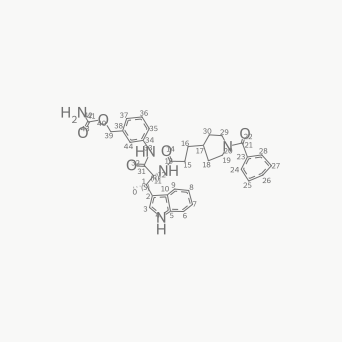 C[C@@H](c1c[nH]c2ccccc12)[C@@H](NC(=O)CCC1CCN(C(=O)c2ccccc2)CC1)C(=O)Nc1cccc(COC(N)=O)c1